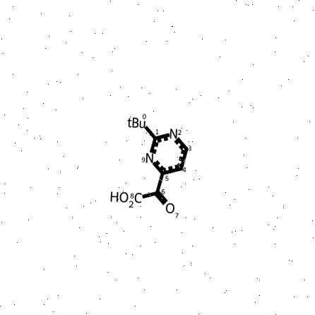 CC(C)(C)c1nccc(C(=O)C(=O)O)n1